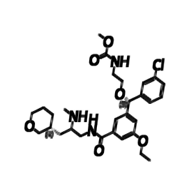 CCOc1cc(C(=O)NCC(C[C@H]2CCCOC2)NC)cc([C@H](OCCNC(=O)OC)c2cccc(Cl)c2)c1